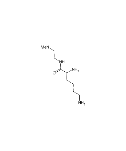 CNCCNC(=O)C(N)CCCCN